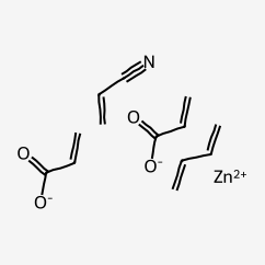 C=CC#N.C=CC(=O)[O-].C=CC(=O)[O-].C=CC=C.[Zn+2]